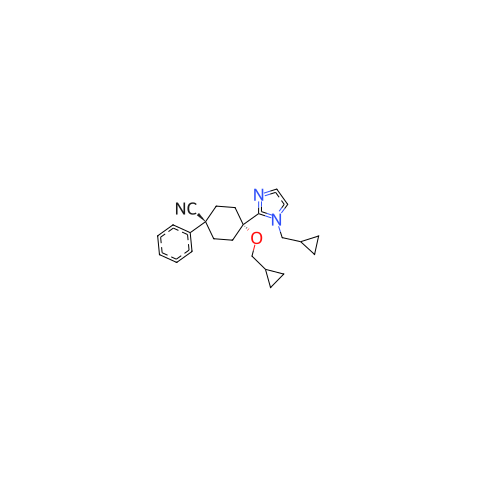 N#C[C@]1(c2ccccc2)CC[C@](OCC2CC2)(c2nccn2CC2CC2)CC1